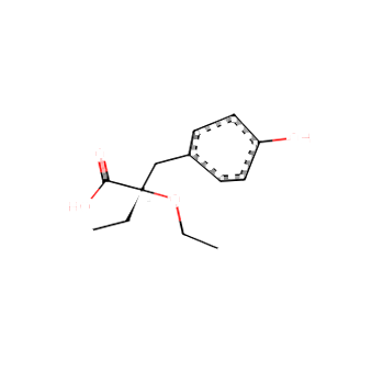 CCO[C@@](CC)(Cc1ccc(O)cc1)C(=O)O